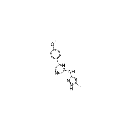 COc1ccc(-c2cncc(Nc3cc(C)[nH]n3)n2)cc1